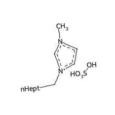 CCCCCCCC[n+]1ccn(C)c1.O=S(=O)(O)O